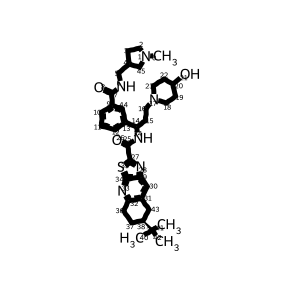 CN1CCC(CNC(=O)c2cccc(C(CCN3CCC(O)CC3)NC(=O)c3nc4cc5c(nc4s3)CC[C@H](C(C)(C)C)C5)c2)C1